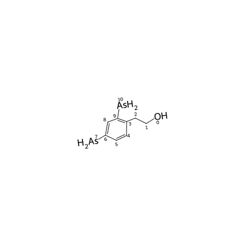 OCCc1ccc([AsH2])cc1[AsH2]